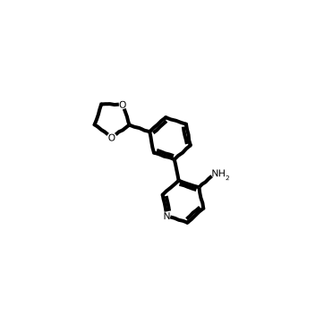 Nc1ccncc1-c1cccc(C2OCCO2)c1